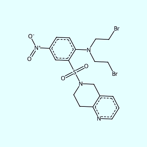 O=[N+]([O-])c1ccc(N(CCBr)CCBr)c(S(=O)(=O)N2CCc3ncccc3C2)c1